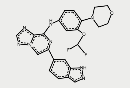 FC(F)Oc1cc(Nc2nc(-c3ccc4cn[nH]c4c3)cn3ncnc23)ccc1N1CCOCC1